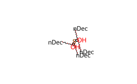 CCCCCCCCCCCCCCCCCCc1cc(Sc2cc(CCCCCCCCCCCCCCCCCC)c(O)c(CCCCCCCCCCCCCCCCCC)c2)cc(CCCCCCCCCCCCCCCCCC)c1O